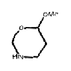 COC1CCNCO1